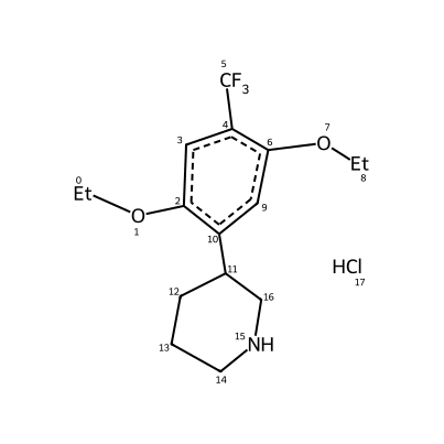 CCOc1cc(C(F)(F)F)c(OCC)cc1C1CCCNC1.Cl